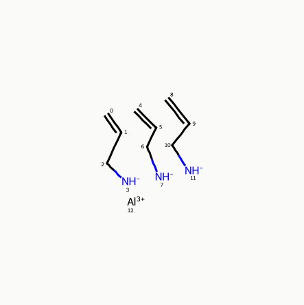 C=CC[NH-].C=CC[NH-].C=CC[NH-].[Al+3]